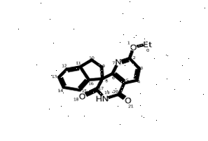 CCOc1ccc2c(n1)C1(CCc3ccccc31)C(=O)NC2=O